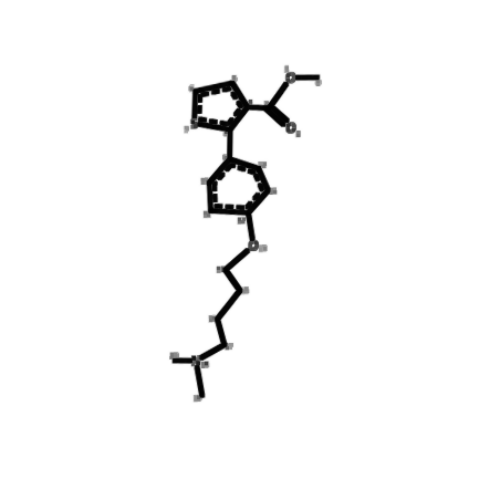 COC(=O)c1ccsc1-c1ccc(OCCCCN(C)C)cc1